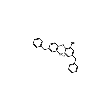 O=[N+]([O-])c1cc(Cc2ccccc2)ccc1Oc1ccc(Cc2ccccc2)cc1[N+](=O)[O-]